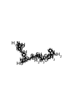 CCCCc1nc2c(N)nc3ccccc3c2n1CC(C)(C)COCC(C)CCOC(C)(C)CCC(=O)NCCCC[C@@H](CC(=O)O)NC(=O)c1ccc(NCc2cnc3nc(N)[nH]c(=O)c3n2)cc1